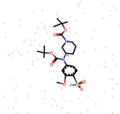 COc1cc(N(C(=O)OC(C)(C)C)[C@@H]2CCCN(C(=O)OC(C)(C)C)C2)ccc1S(=O)(=O)F